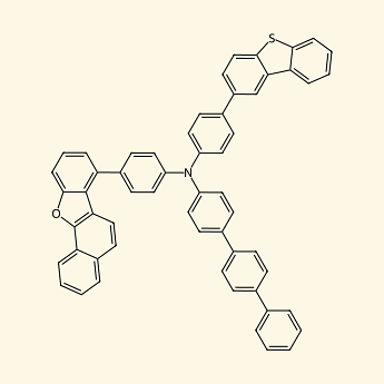 c1ccc(-c2ccc(-c3ccc(N(c4ccc(-c5ccc6sc7ccccc7c6c5)cc4)c4ccc(-c5cccc6oc7c8ccccc8ccc7c56)cc4)cc3)cc2)cc1